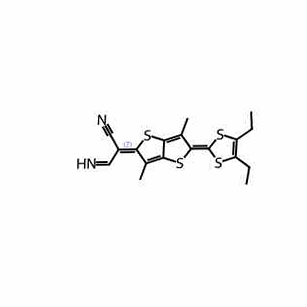 CCC1=C(CC)SC(=c2sc3c(C)/c(=C(/C#N)C=N)sc3c2C)S1